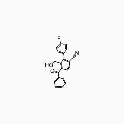 N#Cc1ccc(C(=O)c2ccccc2)c(CO)c1-c1ccc(F)cc1